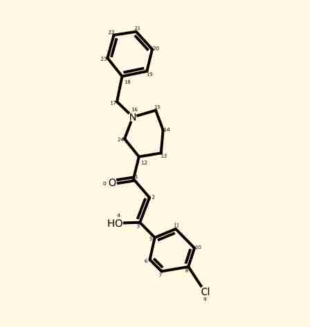 O=C(/C=C(\O)c1ccc(Cl)cc1)C1CCCN(Cc2ccccc2)C1